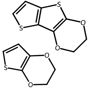 c1cc2c(s1)OCCO2.c1cc2sc3c(c2s1)OCCO3